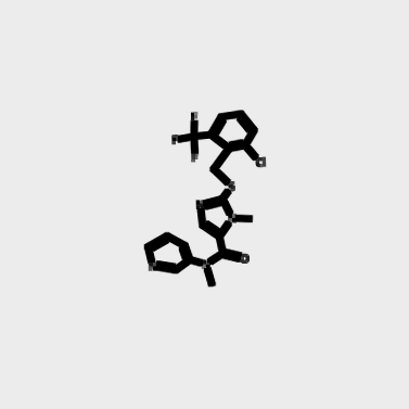 CN(C(=O)c1cnc(SCc2c(Cl)cccc2C(F)(F)F)n1C)c1cccnc1